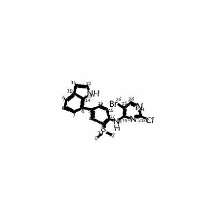 CP(C)c1cc(-c2cccc3cc[nH]c23)ccc1Nc1nc(Cl)ncc1Br